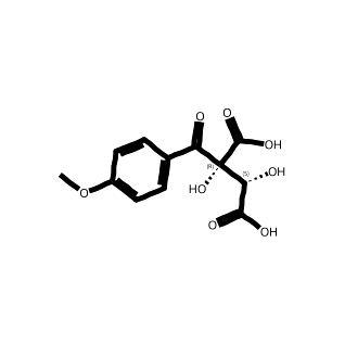 COc1ccc(C(=O)[C@@](O)(C(=O)O)[C@H](O)C(=O)O)cc1